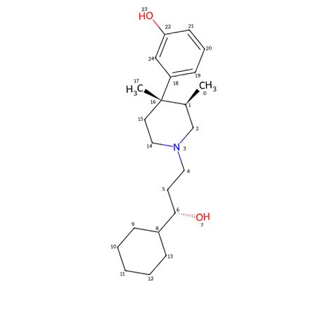 C[C@H]1CN(CC[C@H](O)C2CCCCC2)CC[C@]1(C)c1cccc(O)c1